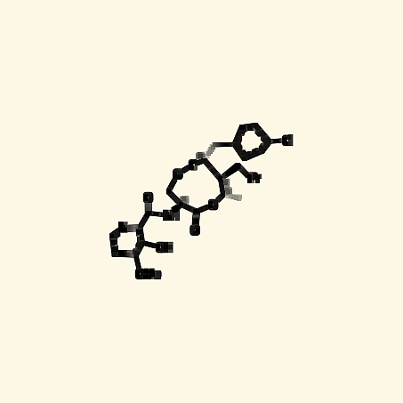 COc1ccnc(C(=O)N[C@H]2COC[C@H](Cc3ccc(Cl)cc3)[C@@H](CC(C)C)[C@H](C)OC2=O)c1O